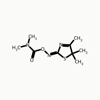 CC1=NC(=NOC(=O)N(C)C)SC1(C)C